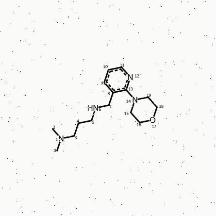 CN(C)CCCNCc1[c]ccnc1N1CCOCC1